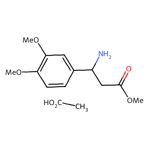 CC(=O)O.COC(=O)CC(N)c1ccc(OC)c(OC)c1